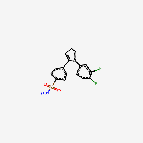 NS(=O)(=O)c1ccc(C2=CCC=C2c2ccc(F)c(F)c2)cc1